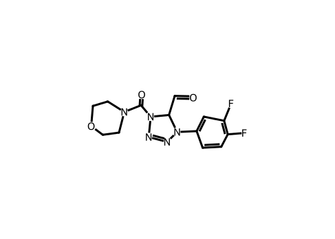 O=CC1N(C(=O)N2CCOCC2)N=NN1c1ccc(F)c(F)c1